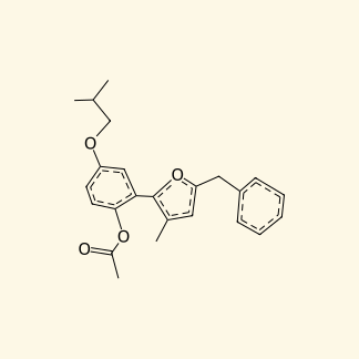 CC(=O)Oc1ccc(OCC(C)C)cc1-c1oc(Cc2ccccc2)cc1C